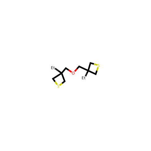 CCC1(COCC2(CC)CSC2)CSC1